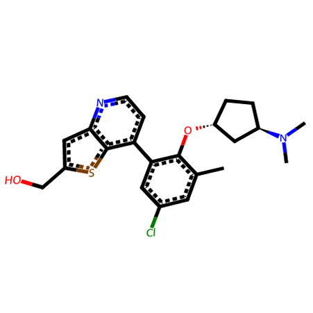 Cc1cc(Cl)cc(-c2ccnc3cc(CO)sc23)c1O[C@@H]1CC[C@@H](N(C)C)C1